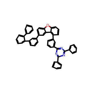 c1ccc(-c2nc(-c3ccccc3)nc(-c3cccc(-c4cccc5oc6ccc(-c7cccc(-c8ccccc8-c8ccccc8)c7)cc6c45)c3)n2)cc1